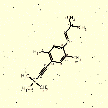 Cc1cc(N=CN(C)C)c(C)cc1C#C[Si](C)(C)C